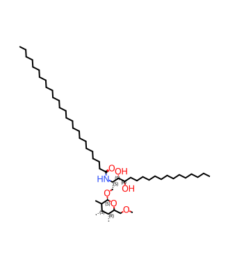 CCCCCCCCCCCCCCCCCCCCCCCCCC(=O)N[C@@H](CO[C@H]1OC(COC)[C@H](C)[C@H](C)C1C)[C@H](O)[C@H](O)CCCCCCCCCCCCCC